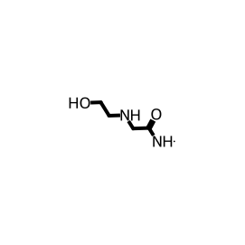 [NH]C(=O)CNCCO